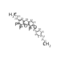 C=CCCc1ccc(COc2ccc3c(c2F)Oc2c(cc(CCC)c(F)c2F)C3)cc1